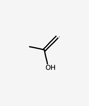 [CH]=C(C)O